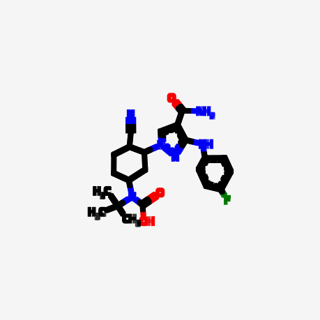 CC(C)(C)N(C(=O)O)C1CCC(C#N)C(n2cc(C(N)=O)c(Nc3ccc(F)cc3)n2)C1